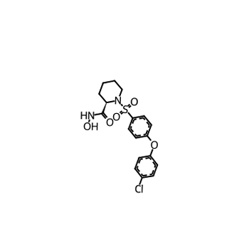 O=C(NO)[C@H]1CCCCN1S(=O)(=O)c1ccc(Oc2ccc(Cl)cc2)cc1